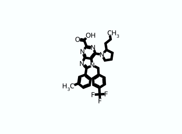 CCCC1CCCN1c1nc(C(=O)O)nc2nc(-c3cccc(C)c3)n(Cc3ccc(C(F)(F)F)cc3)c12